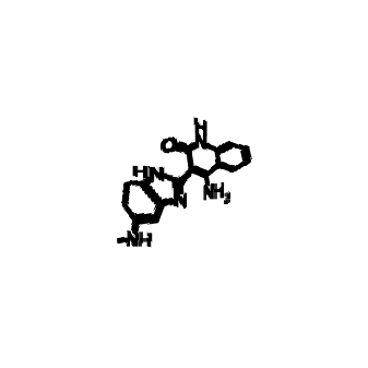 CNc1ccc2[nH]c(-c3c(N)c4ccccc4[nH]c3=O)nc2c1